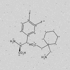 NCC1(CC(=O)O)CCCCC1.N[C@@H](Cc1ccc(F)c(F)c1)C(=O)O